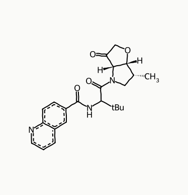 C[C@@H]1CN(C(=O)C(NC(=O)c2ccc3ncccc3c2)C(C)(C)C)[C@@H]2C(=O)CO[C@H]12